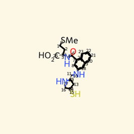 CSCC[C@H](NC(=O)c1cc(NC[C@@H]2C[C@H](S)CN2)cc2ccccc12)C(=O)O